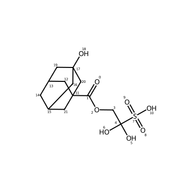 O=C(OCC(O)(O)S(=O)(=O)O)C12CC3CC(CC(O)(C3)C1)C2